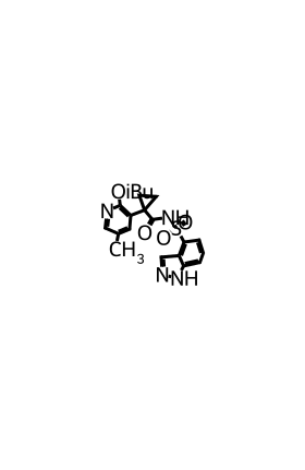 Cc1cnc(OCC(C)C)c(C2(C(=O)NS(=O)(=O)c3cccc4[nH]ncc34)CC2)c1